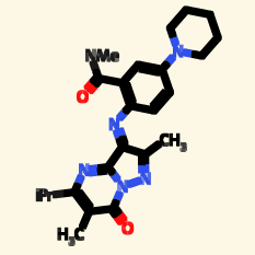 CNC(=O)c1cc(N2CCCCC2)ccc1N=C1C(C)=Nn2c1nc(C(C)C)c(C)c2=O